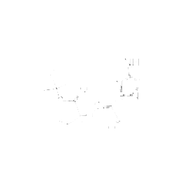 CCC(O/N=C(\[C]=O)c1nsc(N)n1)C(=O)OC(C)(C)C